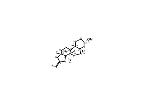 C/C=C1/C[C@@H]2[C@H]3CC[C@@H]4C[C@@H](O)CC[C@@]4(C)[C@@H]3CC[C@@]2(C)C1